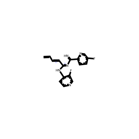 C=C/C=C/C(=N\C(=N)c1ccc(F)cn1)Nc1ccncc1F